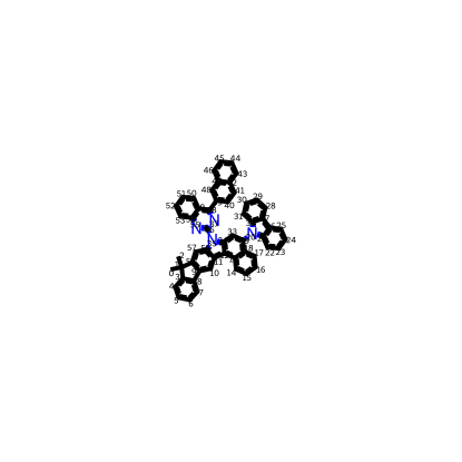 CC1(C)c2ccccc2-c2cc3c4c5ccccc5c(-n5c6ccccc6c6ccccc65)cc4n(-c4nc(-c5ccc6ccccc6c5)c5ccccc5n4)c3cc21